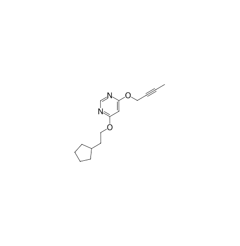 CC#CCOc1cc(OCCC2CCCC2)ncn1